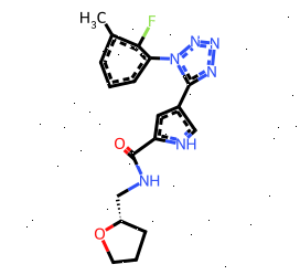 Cc1cccc(-n2nnnc2-c2c[nH]c(C(=O)NC[C@@H]3CCCO3)c2)c1F